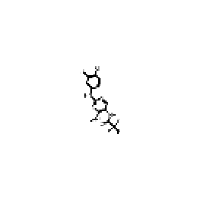 CNc1nc(Nc2ccc(Cl)c(Cl)c2)ncc1NC(=O)C(F)(F)F